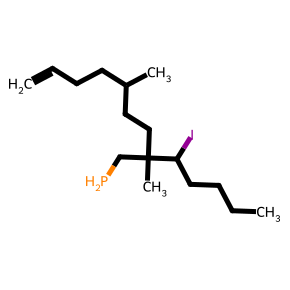 C=CCCC(C)CCC(C)(CP)C(I)CCCC